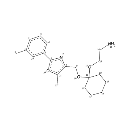 Cc1cccc(-c2nc(COC3(OCCN)CCCCC3)c(C)o2)c1